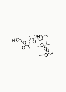 C=C(C)C(=O)OCC.C=C(CC=C(C)C(=O)O)C(=O)OCCO.C=CC(=O)OCCC.C=Cc1ccccc1